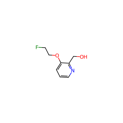 OCc1ncccc1OCCF